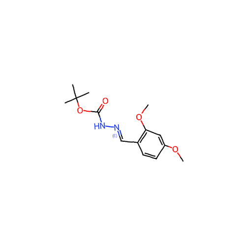 COc1ccc(/C=N/NC(=O)OC(C)(C)C)c(OC)c1